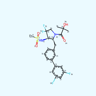 CCS(=O)(=O)N[C@@H]1[C@H](Cc2cccc(-c3cc(F)cc(F)c3)c2)N(C(=O)C(C)(C)O)CC1(F)F